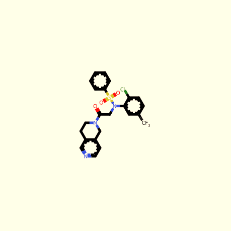 O=C(CN(c1cc(C(F)(F)F)ccc1Cl)S(=O)(=O)c1ccccc1)N1CCc2cnccc2C1